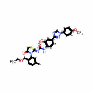 Cc1ccc(COCC(F)(F)F)c(N2C(=O)CS/C2=N\C(=O)Nc2ccc(-c3ncn(-c4ccc(OC(F)(F)F)cc4)n3)cc2Br)c1